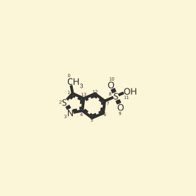 Cc1snc2ccc(S(=O)(=O)O)cc12